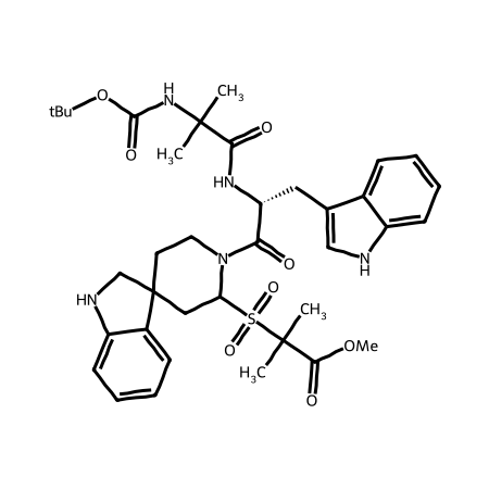 COC(=O)C(C)(C)S(=O)(=O)C1CC2(CCN1C(=O)[C@@H](Cc1c[nH]c3ccccc13)NC(=O)C(C)(C)NC(=O)OC(C)(C)C)CNc1ccccc12